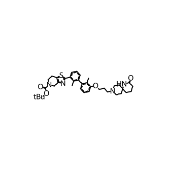 Cc1c(OCCCN2CCC3(CCCC(=O)N3)CC2)cccc1-c1cccc(-c2nc3c(s2)CCN(C(=O)OC(C)(C)C)C3)c1C